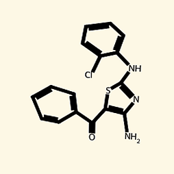 Nc1nc(Nc2ccccc2Cl)sc1C(=O)c1ccccc1